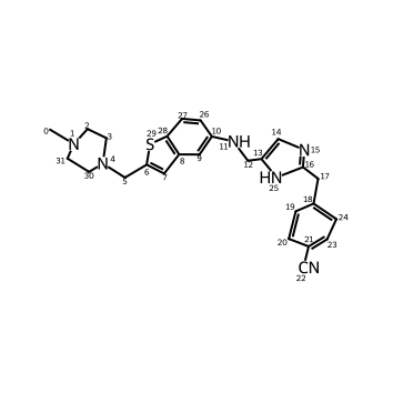 CN1CCN(Cc2cc3cc(NCc4cnc(Cc5ccc(C#N)cc5)[nH]4)ccc3s2)CC1